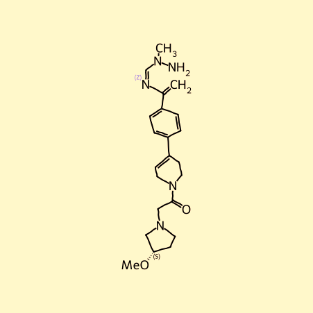 C=C(/N=C\N(C)N)c1ccc(C2=CCN(C(=O)CN3CC[C@H](OC)C3)CC2)cc1